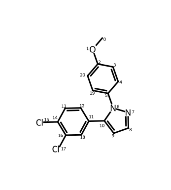 COc1ccc(-n2nccc2-c2ccc(Cl)c(Cl)c2)cc1